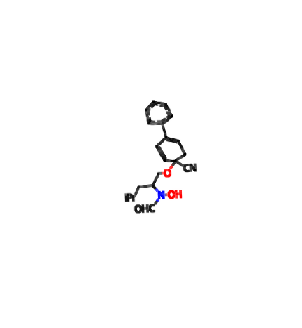 CC(C)CC(COC1(C#N)C=CC(c2ccccc2)=CC1)N(O)C=O